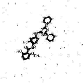 COc1cccc(O)c1C(=O)Nc1ccc(Nc2nc(N3CCCCC3)nc(N3CCCCC3)n2)cc1O